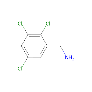 NCc1cc(Cl)cc(Cl)c1Cl